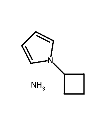 N.c1ccn(C2CCC2)c1